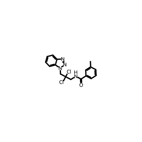 Cc1cccc(C(=O)NCC(Cl)(Cl)Cn2nnc3ccccc32)c1